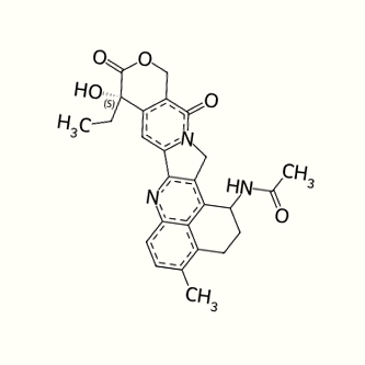 CC[C@@]1(O)C(=O)OCc2c1cc1n(c2=O)Cc2c-1nc1ccc(C)c3c1c2C(NC(C)=O)CC3